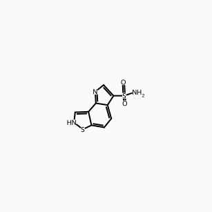 NS(=O)(=O)c1cnc2c1ccc1s[nH]cc12